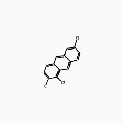 Clc1[c]cc2cc3c(Cl)c(Cl)[c]cc3cc2c1